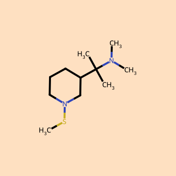 CSN1CCCC(C(C)(C)N(C)C)C1